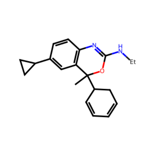 CCNC1=Nc2ccc(C3CC3)cc2C(C)(C2C=CC=CC2)O1